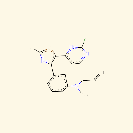 C=CCN(C(=O)O)c1cccc(-c2nc(C)sc2-c2ccnc(Cl)n2)c1